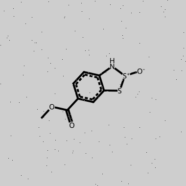 COC(=O)c1ccc2c(c1)S[S+]([O-])N2